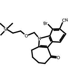 C[Si](C)(C)CCOCn1c2c(c3ccc(C#N)c(Br)c31)C(=O)CCCC2